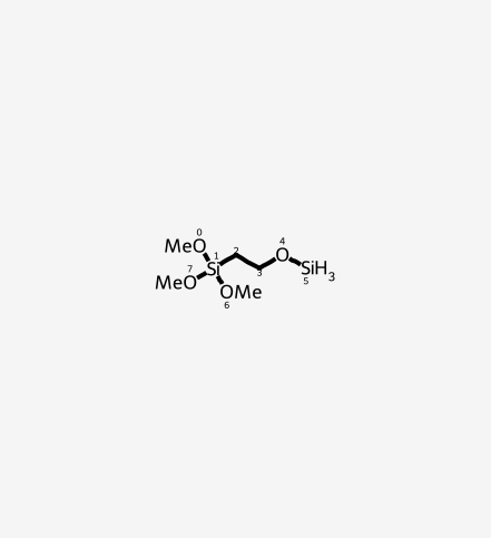 CO[Si](CCO[SiH3])(OC)OC